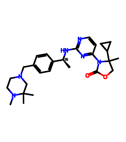 C[C@H](Nc1nccc(N2C(=O)OCC2(C)C2CC2)n1)c1ccc(CN2CCN(C)C(C)(C)C2)cc1